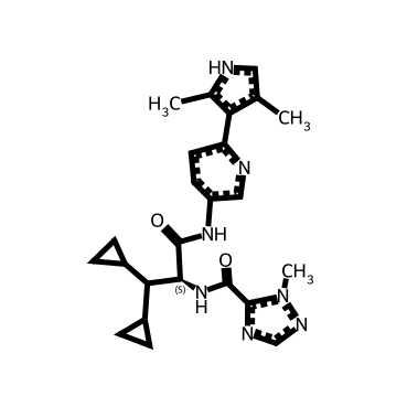 Cc1c[nH]c(C)c1-c1ccc(NC(=O)[C@@H](NC(=O)c2ncnn2C)C(C2CC2)C2CC2)cn1